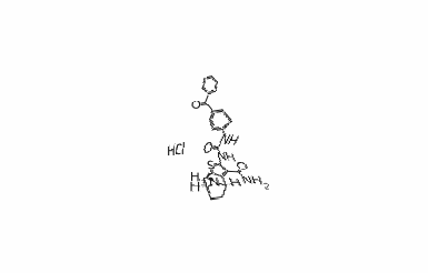 CN1[C@H]2CC[C@@H]1c1c(sc(NC(=O)Nc3ccc(C(=O)c4ccccc4)cc3)c1C(N)=O)C2.Cl